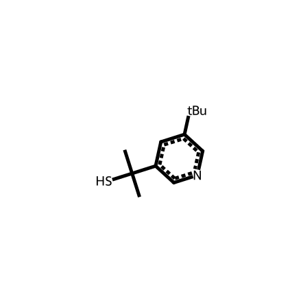 CC(C)(C)c1cncc(C(C)(C)S)c1